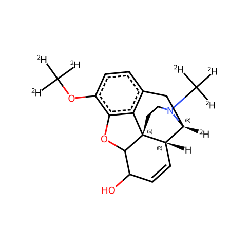 [2H]C([2H])([2H])Oc1ccc2c3c1OC1C(O)C=C[C@@H]4[C@@]31CCN(C([2H])([2H])[2H])[C@]4([2H])C2